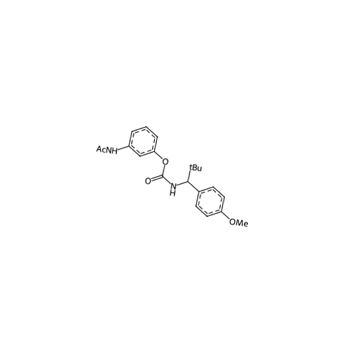 COc1ccc(C(NC(=O)Oc2cccc(NC(C)=O)c2)C(C)(C)C)cc1